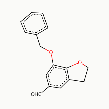 O=Cc1cc2c(c(OCc3ccccc3)c1)OCC2